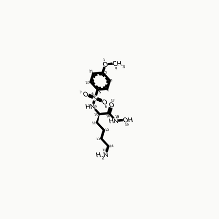 COc1ccc(S(=O)(=O)N[C@H](CCCCN)C(=O)NO)cc1